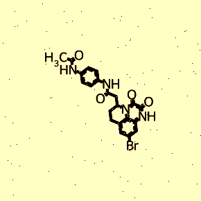 CC(=O)Nc1ccc(NC(=O)CC2CCc3cc(Br)cc4[nH]c(=O)c(=O)n2c34)cc1